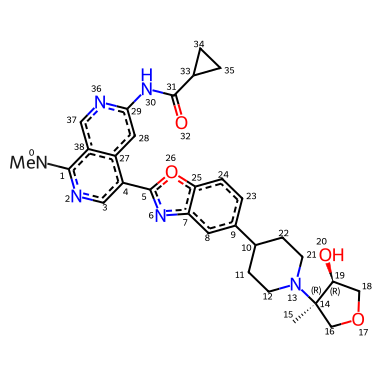 CNc1ncc(-c2nc3cc(C4CCN([C@]5(C)COC[C@@H]5O)CC4)ccc3o2)c2cc(NC(=O)C3CC3)ncc12